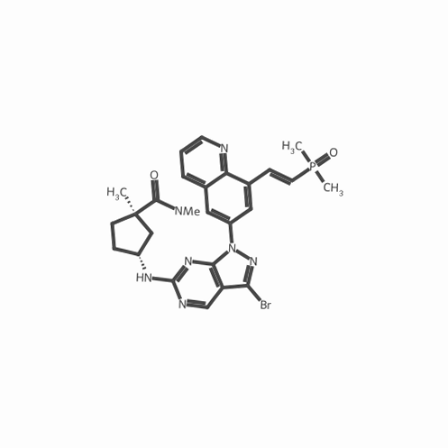 CNC(=O)[C@]1(C)CC[C@@H](Nc2ncc3c(Br)nn(-c4cc(/C=C/P(C)(C)=O)c5ncccc5c4)c3n2)C1